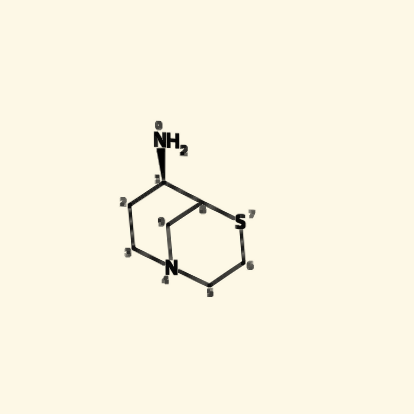 N[C@@H]1CCN2CCSC1C2